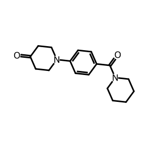 O=C1CCN(c2ccc(C(=O)N3CCCCC3)cc2)CC1